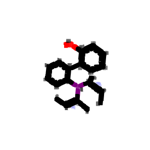 C/C=C(/C)P(/C(C)=C\C)c1ccccc1-c1ccccc1O